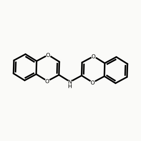 C1=C(NC2=COc3ccccc3O2)Oc2ccccc2O1